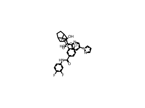 O=C(Nc1ccc(F)c(F)c1)c1ccc(Cl)c(S(=O)(=O)[C@H]2CC3CCC(C2)[C@]3(O)C(O)C(O)c2ccc(-n3cccn3)cn2)c1